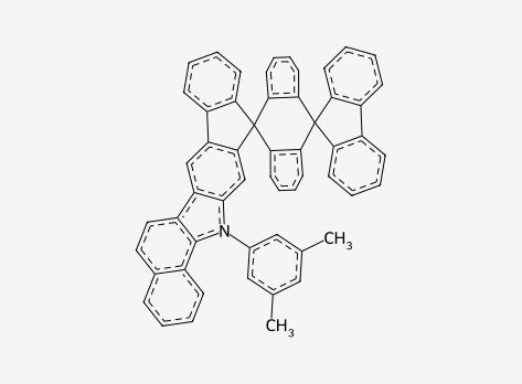 Cc1cc(C)cc(-n2c3cc4c(cc3c3ccc5ccccc5c32)-c2ccccc2C42c3ccccc3C3(c4ccccc4-c4ccccc43)c3ccccc32)c1